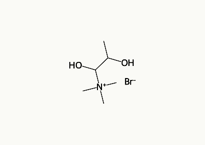 CC(O)C(O)[N+](C)(C)C.[Br-]